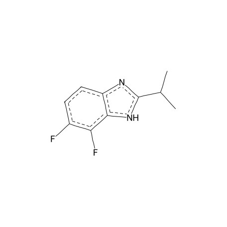 CC(C)c1nc2ccc(F)c(F)c2[nH]1